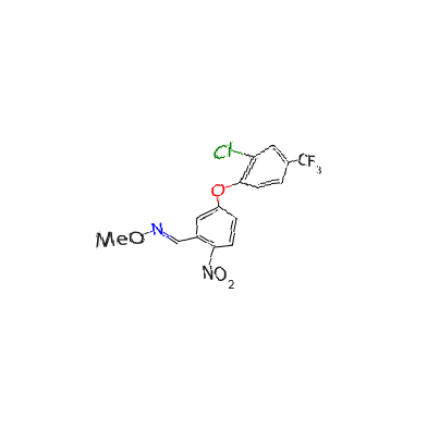 CON=Cc1cc(Oc2ccc(C(F)(F)F)cc2Cl)ccc1[N+](=O)[O-]